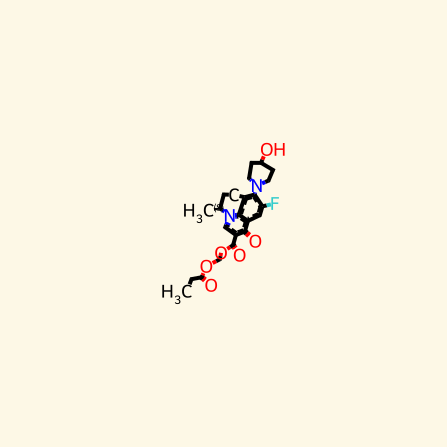 CCC(=O)OCOC(=O)c1cn2c3c(c(N4CCC(O)CC4)c(F)cc3c1=O)CC[C@@H]2C